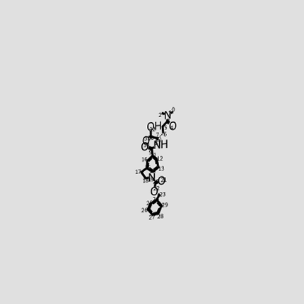 CN(C)C(=O)CC[C@H](NC(=O)c1ccc2c(c1)CCN2C(=O)OCc1ccccc1)C(=O)O